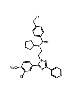 CCSc1ccc(C(=O)N(CCn2nc(-c3ccncc3)nc2-c2ccc(OC)c(Cl)c2)C2CCCC2)cc1